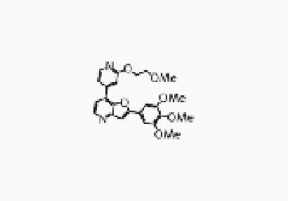 COCCOc1cc(-c2ccnc3cc(-c4cc(OC)c(OC)c(OC)c4)oc23)ccn1